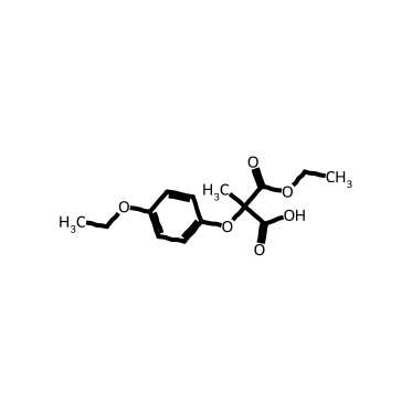 CCOC(=O)C(C)(Oc1ccc(OCC)cc1)C(=O)O